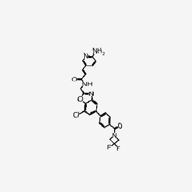 Nc1ccc(C=CC(=O)NCc2nc3cc(-c4ccc(C(=O)N5CC(F)(F)C5)cc4)cc(Cl)c3o2)cn1